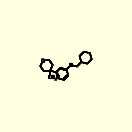 O=C(O)C1(c2cccc(OCC3CCCCC3)c2)CCOCC1